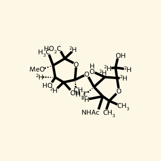 [2H]C([2H])(O)C1([2H])OC(C)(C)C([2H])(NC(C)=O)[C@@](C)(O[C@]2(C)OC([2H])(C(=O)O)[C@@](C)(OC)[C@]([2H])(O)C2([2H])O)[C@]1([2H])O